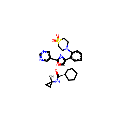 N#CC1(NC(=O)[C@@H]2CCCC[C@H]2c2oc(-c3cncnc3)nc2-c2ccccc2N2CCS(=O)(=O)CC2)CC1